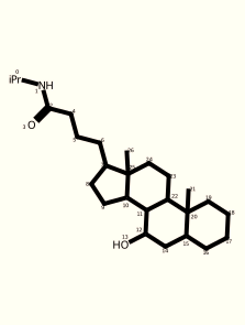 CC(C)NC(=O)CCCC1CCC2C3C(O)CC4CCCCC4(C)C3CCC12C